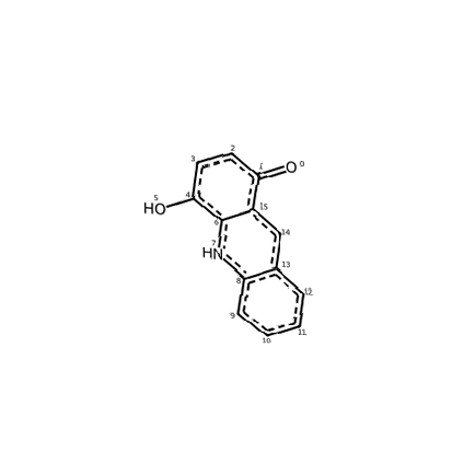 O=c1ccc(O)c2[nH]c3ccccc3cc1-2